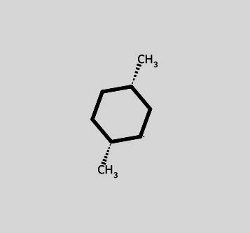 C[C@@H]1C[CH][C@H](C)CC1